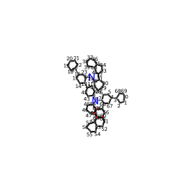 c1ccc(-c2ccc(N(c3ccc(-c4ccc(-c5ccccc5)cc4-n4c5ccccc5c5ccc6ccccc6c54)cc3)c3cccc(-c4cccc5ccccc45)c3)c(-c3ccccc3)c2)cc1